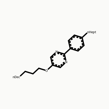 CCCCCCCCCCCCCOc1cnc(-c2ccc(CCCCCCC)cc2)nc1